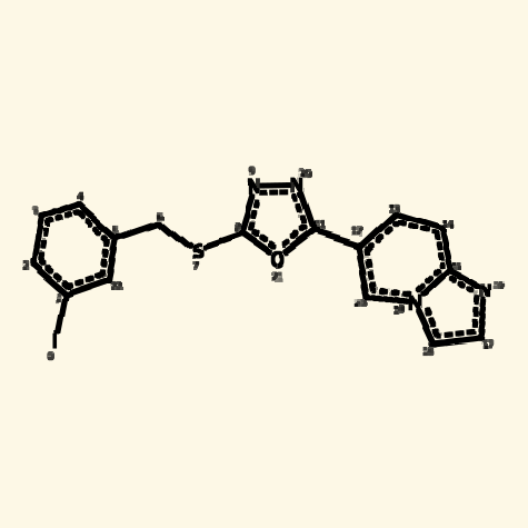 Ic1cccc(CSc2nnc(-c3ccc4nccn4c3)o2)c1